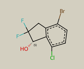 O[C@H]1c2c(Cl)ccc(Br)c2CC1(F)F